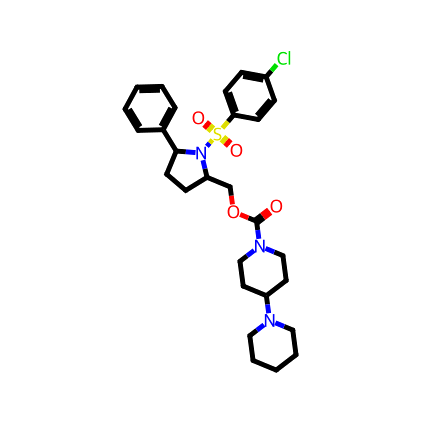 O=C(OCC1CCC(c2ccccc2)N1S(=O)(=O)c1ccc(Cl)cc1)N1CCC(N2CCCCC2)CC1